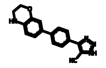 N#Cc1[nH]nnc1-c1ccc(-c2ccc3c(c2)OCCN3)cc1